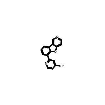 CC(C)c1ccnc(-c2cccc3c2oc2ccncc23)c1